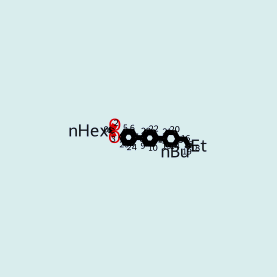 CCCCCCC(=O)Oc1ccc(-c2ccc(C3CCC(CC(CC)CCCC)CC3)cc2)cc1